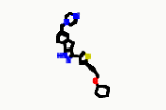 CN1CCN(Cc2ccc3c(c2)Cc2c(-c4csc(C#CCOC5CCCCC5)c4)n[nH]c2-3)CC1